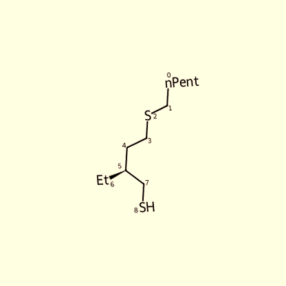 CCCCCCSCC[C@H](CC)CS